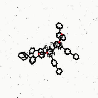 CC(C)c1cc(-c2ccc(-c3cccc4c3-c3c(-c5ccc(-c6nc(-c7ccc(-c8ccccc8)cc7)nc(-c7ccc(-c8ccccc8)cc7)n6)c(C(C)C)c5)cccc3C43C4CC5CC(C4)CC3C5)cc2)ccc1-c1nc(-c2ccc(-c3ccccc3)cc2)nc(-c2ccc(-c3ccccc3)cc2)n1